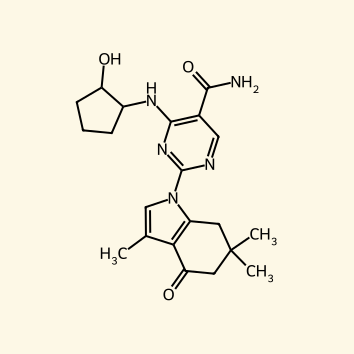 Cc1cn(-c2ncc(C(N)=O)c(NC3CCCC3O)n2)c2c1C(=O)CC(C)(C)C2